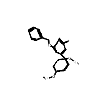 COC1CCC(OC)(c2cc(F)cc(OCc3ccccc3)c2)CC1